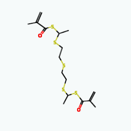 C=C(C)C(=O)SC(C)SCCSCCSC(C)SC(=O)C(=C)C